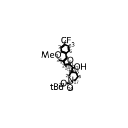 COc1cc(C(F)(F)F)ccc1-c1oc([C@@H](O)[C@@]2(C)CCCN(C(=O)OC(C)(C)C)C2)cc1C